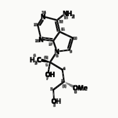 CO[C@H](CO)C[C@](C)(O)n1ccc2c(N)ncnc21